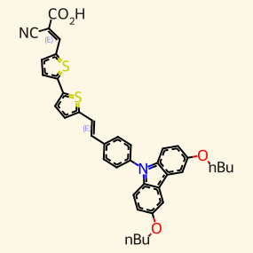 CCCCOc1ccc2c(c1)c1cc(OCCCC)ccc1n2-c1ccc(/C=C/c2ccc(-c3ccc(/C=C(\C#N)C(=O)O)s3)s2)cc1